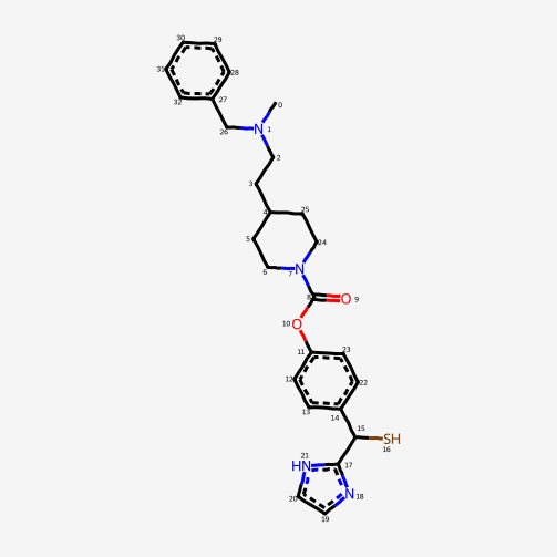 CN(CCC1CCN(C(=O)Oc2ccc(C(S)c3ncc[nH]3)cc2)CC1)Cc1ccccc1